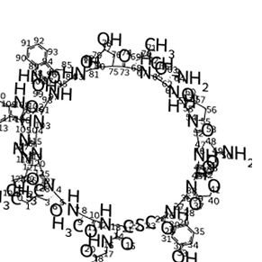 CCCC[C@H]1C(=O)N[C@@H](C)C(=O)NC(C(=O)NCC(N)=O)CSCC(=O)N[C@@H](Cc2ccc(O)cc2)C(=O)N2CCOC[C@H]2C(=O)N[C@@H](CC(N)=O)C(=O)N2CCC[C@H]2C(=O)N[C@@H](CN)C(=O)N[C@@H](CC(C)C)C(=O)C2C[C@H](O)C[C@H]2C(=O)N[C@@H](Cc2c[nH]c3ccccc23)C(=O)N[C@@H](CO)C(=O)N[C@@H](Cc2c[nH]c3ccccc23)c2nnnn2[C@@H](CCCC)C(=O)N1C